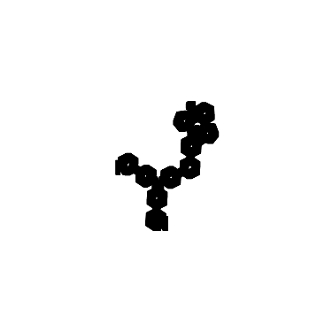 C1=CC(c2ccc(N(c3ccc(-c4cccnc4)cc3)c3ccc(-c4cccnc4)cc3)cc2)=CC(c2ccc3c(c2)c2ccccc2n3-c2cccc3sc4ccccc4c23)C1